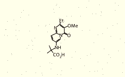 CCc1nc2ccc(NC(C)(C)C(=O)O)cn2c(=O)c1OC